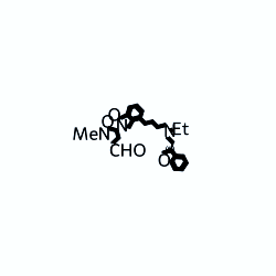 CCN(CCCCc1cccc2c1CN(C(CCC=O)C(=O)NC)C2=O)CC[C@@H]1COc2ccccc21